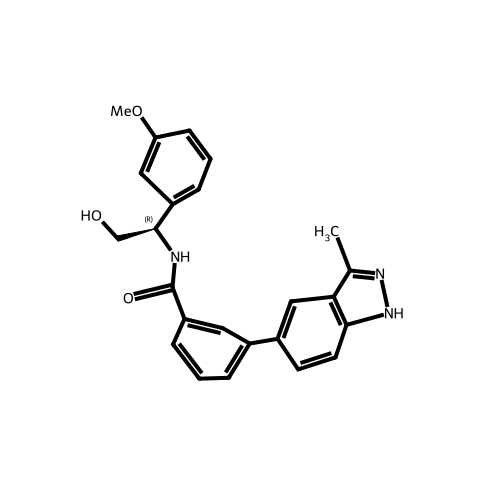 COc1cccc([C@H](CO)NC(=O)c2cccc(-c3ccc4[nH]nc(C)c4c3)c2)c1